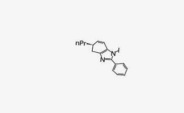 CCC[C@H]1C=Cc2c(nc(-c3ccccc3)n2I)C1